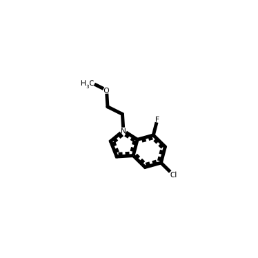 COCCn1ccc2cc(Cl)cc(F)c21